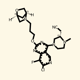 CN1CCN(c2nc(OCCCN3C[C@@H]4C[C@H]3CO4)nc3c(F)c(Cl)ncc23)C[C@@H]1CC#N